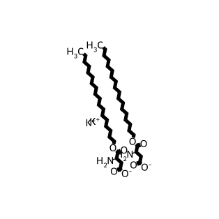 CCCCCCCCCCCCCCCCCCOC(=O)[C@@H](N)CC(=O)[O-].CCCCCCCCCCCCCCCCCCOC(=O)[C@@H](N)CC(=O)[O-].[K+].[K+]